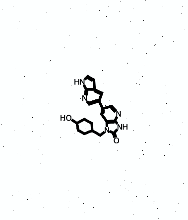 O=c1[nH]c2ncc(-c3cnc4[nH]ccc4c3)cc2n1CC1CCC(O)CC1